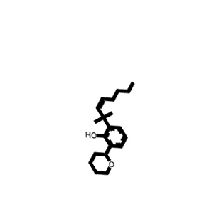 CCCC/C=C\C(C)(C)c1cccc(C2CCCCO2)c1O